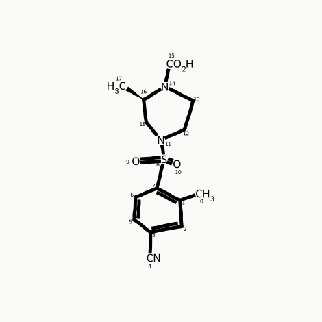 Cc1cc(C#N)ccc1S(=O)(=O)N1CCN(C(=O)O)[C@H](C)C1